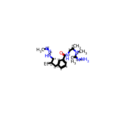 C=C(CNC(=O)c1cccc(CC(CC)CN/N=N\C)c1)N(C)/C(C)=N\N